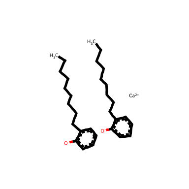 CCCCCCCCCc1ccccc1[O-].CCCCCCCCCc1ccccc1[O-].[Ca+2]